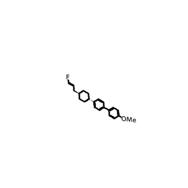 COc1ccc(-c2ccc([C@H]3CC[C@H](CC=CF)CC3)cc2)cc1